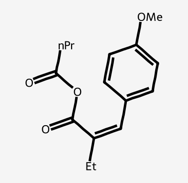 CCCC(=O)OC(=O)C(=Cc1ccc(OC)cc1)CC